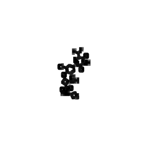 O=c1[nH]c(=O)n(-c2cc(Cl)c(OC3CC(S(=O)(=O)NC4CSC4)[C@H]3O)c(Cl)c2)nc1C(F)F